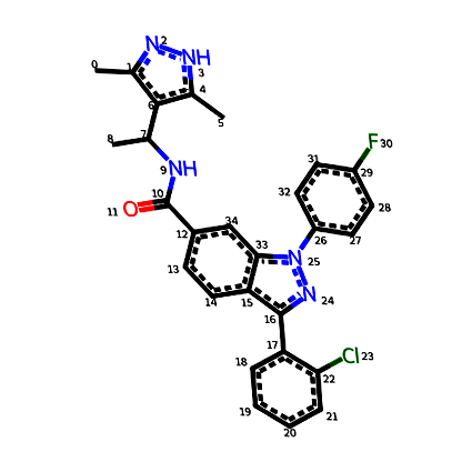 Cc1n[nH]c(C)c1C(C)NC(=O)c1ccc2c(-c3ccccc3Cl)nn(-c3ccc(F)cc3)c2c1